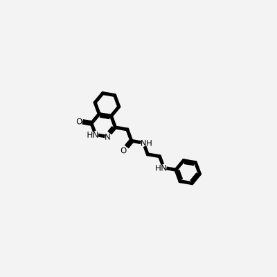 O=C(Cc1n[nH]c(=O)c2c1CCCC2)NCCNc1ccccc1